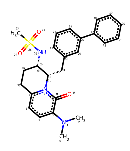 CN(C)c1ccc2n(c1=O)[C@@H](Cc1cccc(-c3ccccc3)c1)[C@@H](NS(C)(=O)=O)CC2